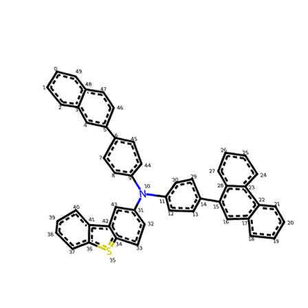 c1ccc2cc(-c3ccc(N(c4ccc(-c5cc6ccccc6c6ccccc56)cc4)c4ccc5sc6ccccc6c5c4)cc3)ccc2c1